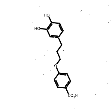 O=C(O)c1ccc(OCCCc2ccc(O)c(O)c2)cc1